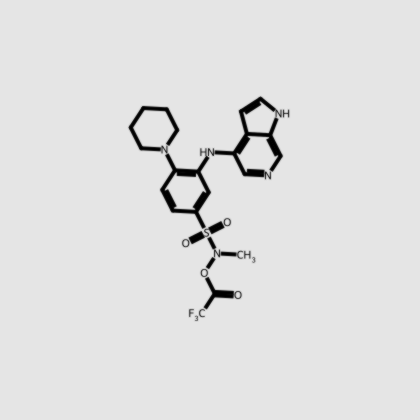 CN(OC(=O)C(F)(F)F)S(=O)(=O)c1ccc(N2CCCCC2)c(Nc2cncc3[nH]ccc23)c1